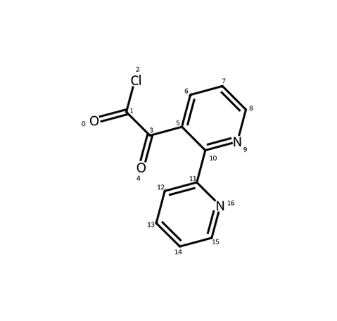 O=C(Cl)C(=O)c1cccnc1-c1ccccn1